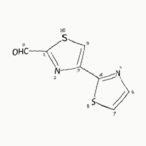 O=Cc1nc(-c2nccs2)cs1